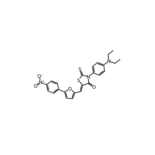 CCN(CC)c1ccc(N2C(=O)/C(=C/c3ccc(-c4ccc([N+](=O)[O-])cc4)o3)SC2=S)cc1